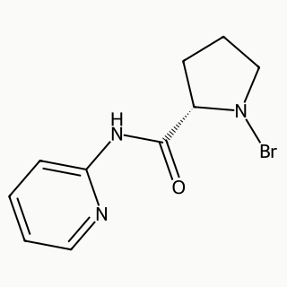 O=C(Nc1ccccn1)[C@@H]1CCCN1Br